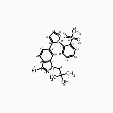 CCc1nn(CC(C)(C)O)c2cc(-c3ccnn3-c3ccccc3S(C)(=O)=O)ccc12